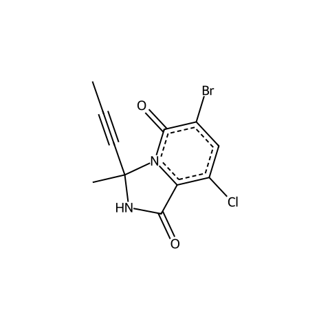 CC#CC1(C)NC(=O)c2c(Cl)cc(Br)c(=O)n21